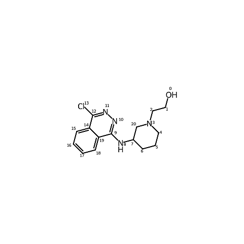 OCCN1CCCC(Nc2nnc(Cl)c3ccccc23)C1